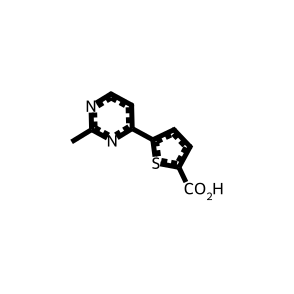 Cc1nccc(-c2ccc(C(=O)O)s2)n1